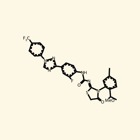 COC(C)c1ccc(C)cc1N1C(=O)CSC1=NC(=O)Nc1ccc(-c2ncn(-c3ccc(C(F)(F)F)cc3)n2)cc1F